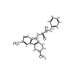 Cc1ccc2c(c1)c1c(n2CC(=O)NCc2ccccc2)CCC(C)C1